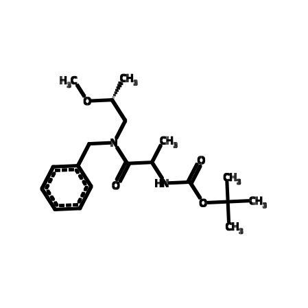 CO[C@H](C)CN(Cc1ccccc1)C(=O)C(C)NC(=O)OC(C)(C)C